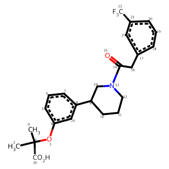 CC(C)(Oc1cccc(C2CCCN(C(=O)Cc3cccc(C(F)(F)F)c3)C2)c1)C(=O)O